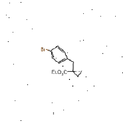 CCOC(=O)C1(Cc2ccc(Br)cc2)CC1